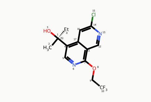 CC[C@](C)(O)c1cnc(OCC(F)(F)F)c2cnc(Cl)cc12